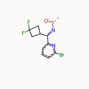 C[S@@+]([O-])/N=C(/c1cccc(Br)n1)C1CC(F)(F)C1